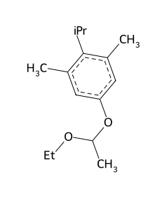 CCOC(C)Oc1cc(C)c(C(C)C)c(C)c1